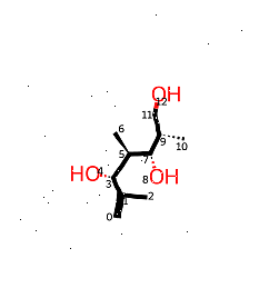 C=C(C)[C@H](O)[C@@H](C)[C@@H](O)[C@@H](C)CO